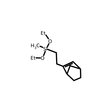 CCO[Si](C)(CCC1=CC2CCC1C2)OCC